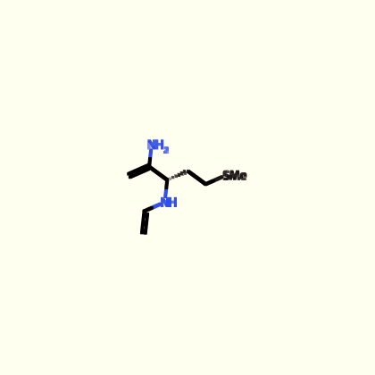 C=CN[C@@H](CCSC)C(=C)N